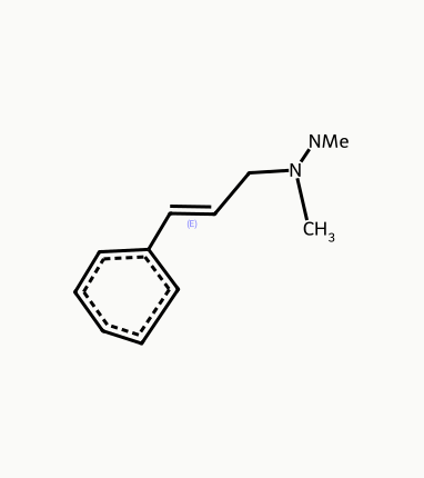 CNN(C)C/C=C/c1ccccc1